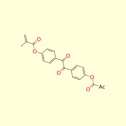 C=C(C)C(=O)Oc1ccc(C(=O)C(=O)c2ccc(OC(=O)C(C)=O)cc2)cc1